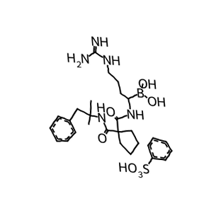 CC(C)(Cc1ccccc1)NC(=O)C1(C(=O)NC(CCCNC(=N)N)B(O)O)CCCC1.O=S(=O)(O)c1ccccc1